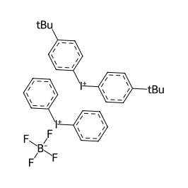 CC(C)(C)c1ccc([I+]c2ccc(C(C)(C)C)cc2)cc1.F[B-](F)(F)F.c1ccc([I+]c2ccccc2)cc1